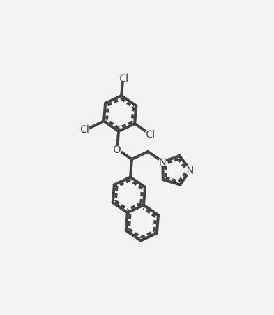 Clc1cc(Cl)c(OC(Cn2ccnc2)c2ccc3ccccc3c2)c(Cl)c1